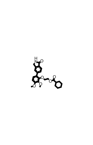 COc1ccc(-c2ccc3c(c2)CNC3=O)c(OCCOC(=O)C2CCCCC2)c1OC